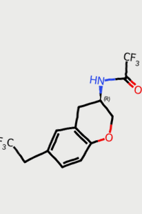 O=C(N[C@H]1COc2ccc(CC(F)(F)F)cc2C1)C(F)(F)F